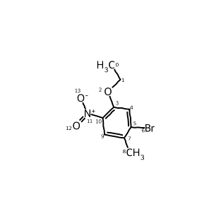 CCOc1cc(Br)c(C)cc1[N+](=O)[O-]